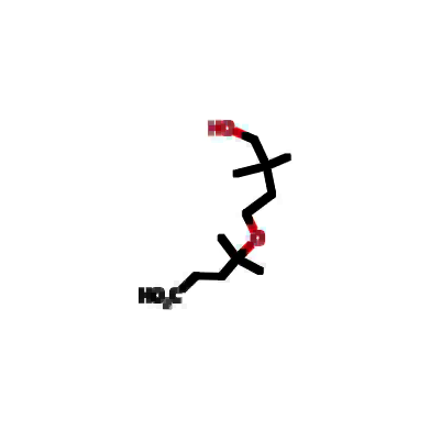 CC(C)(CO)CCOC(C)(C)CCC(=O)O